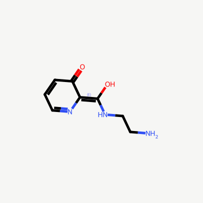 NCCN/C(O)=C1\N=CC=CC1=O